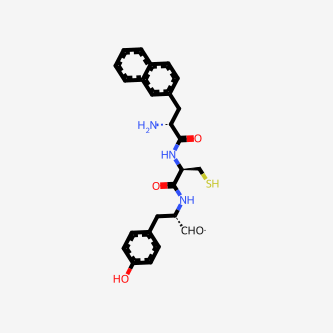 N[C@H](Cc1ccc2ccccc2c1)C(=O)N[C@@H](CS)C(=O)N[C@H]([C]=O)Cc1ccc(O)cc1